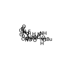 COc1cc2c(cc1-c1cncc(NC(=O)CCNC(=O)[C@@H](CCCCNC(=O)OC(C)(C)C)NC(=O)CN3CCNCC3)c1)-c1c(c(C(=O)N3CCOCC3(C)C)nn1-c1cc(F)cc(F)c1)CO2